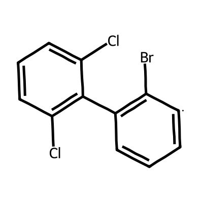 Clc1cccc(Cl)c1-c1ccc[c]c1Br